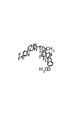 COc1ccc(Cn2ncc(N[C@@H](C)COCc3nc4n(n3)CCN(c3ccc(C(F)(F)F)cn3)C4)c(C(F)(F)F)c2=O)cc1